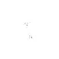 CC1C=C(c2ccc(N(C3=CC4=CC=CC5=CC=CC(=C3)C54)c3ccccc3)cc2)C=CC1c1ccc(N(C2=CC3=CC=CC4=CC=CC(=C2)C43)c2ccccc2)cc1